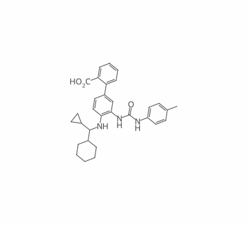 Cc1ccc(NC(=O)Nc2cc(-c3ccccc3C(=O)O)ccc2NC(C2CCCCC2)C2CC2)cc1